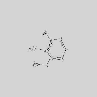 CCCc1cccc(CO)c1OC